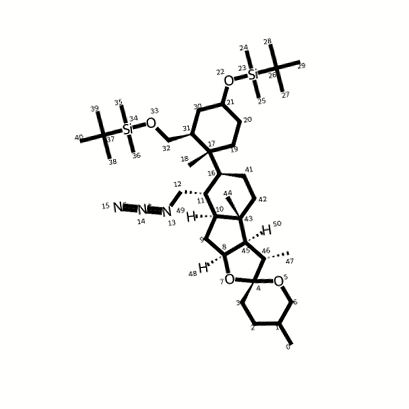 CC1CC[C@@]2(OC1)O[C@H]1C[C@H]3[C@H](CN=[N+]=[N-])[C@@H]([C@@]4(C)CCC(O[Si](C)(C)C(C)(C)C)C[C@@H]4CO[Si](C)(C)C(C)(C)C)CC[C@]3(C)[C@H]1[C@@H]2C